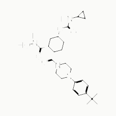 CC(C)(C)c1ccc(N2CCN(C(=O)[C@H]3CC[C@H](OC(=O)NC4CC4)C[C@@H]3C(=O)NO)CC2)cc1